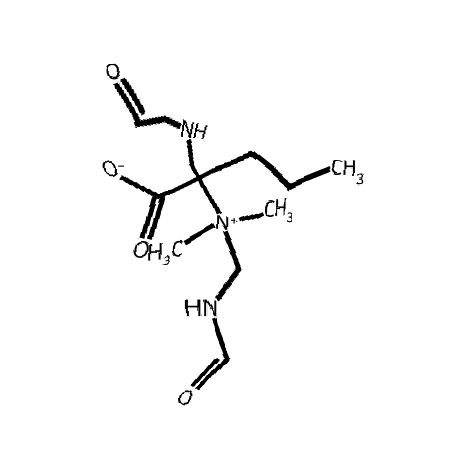 CCCC(NC=O)(C(=O)[O-])[N+](C)(C)CNC=O